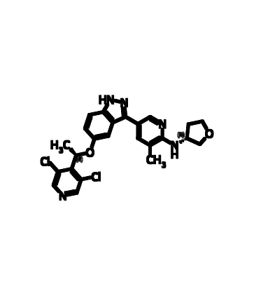 Cc1cc(-c2n[nH]c3ccc(O[C@H](C)c4c(Cl)cncc4Cl)cc23)cnc1N[C@@H]1CCOC1